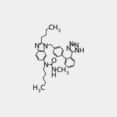 CCCCCN(C(=O)NC)c1ccc2nc(CCCC)n(Cc3ccc(-c4ccccc4-c4nnn[nH]4)cc3)c2c1